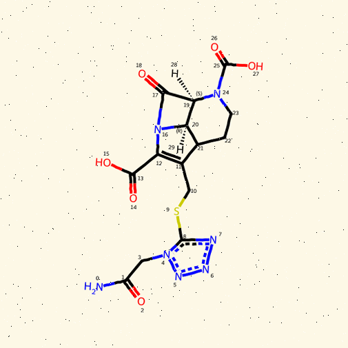 NC(=O)Cn1nnnc1SCC1=C(C(=O)O)N2C(=O)[C@@H]3[C@H]2C1CCN3C(=O)O